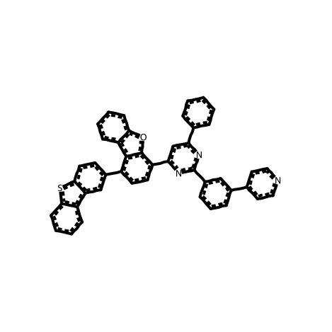 c1ccc(-c2cc(-c3ccc(-c4ccc5sc6ccccc6c5c4)c4c3oc3ccccc34)nc(-c3cccc(-c4ccncc4)c3)n2)cc1